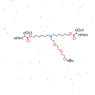 CCCCCCCCC(CCCCCC)C(=O)OCCCCCCN(CCCCCCOC(=O)C(CCCCCC)CCCCCCCC)CCOCCOCCOCCCC